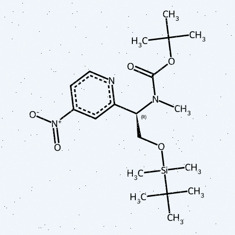 CN(C(=O)OC(C)(C)C)[C@@H](CO[Si](C)(C)C(C)(C)C)c1cc([N+](=O)[O-])ccn1